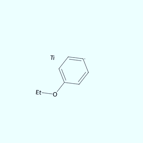 CCOc1cc[c]cc1.[Ti]